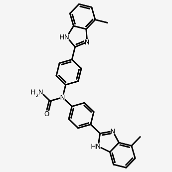 Cc1cccc2[nH]c(-c3ccc(N(C(N)=O)c4ccc(-c5nc6c(C)cccc6[nH]5)cc4)cc3)nc12